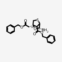 B[C@@H]1O[C@@]2(CC(=O)OCc3ccccc3)CSC1C2C(=O)OCc1ccccc1